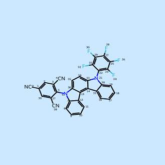 N#Cc1cc(C#N)c(-n2c3ccccc3c3c4c5ccccc5n(-c5c(F)c(F)c(F)c(F)c5F)c4ccc32)c(C#N)c1